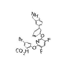 NCc1cccc(-c2cccc(Oc3nc(Oc4ccc(Br)cc4C(=O)O)c(F)cc3F)c2)c1